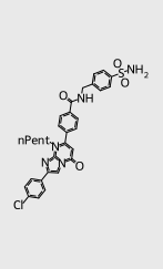 CCCCCn1c(-c2ccc(C(=O)NCc3ccc(S(N)(=O)=O)cc3)cc2)cc(=O)n2cc(-c3ccc(Cl)cc3)nc12